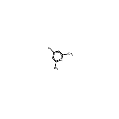 Bc1cc(Br)cc(C)n1